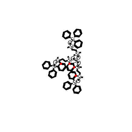 C[Si](C)(CC[Si](C)(C)O[Si](c1ccccc1)(c1ccccc1)c1ccccc1)O[Si](O[Si](C)(C)CC[Si](C)(C)O[Si](c1ccccc1)(c1ccccc1)c1ccccc1)(O[Si](C)(C)CC[Si](C)(C)O[Si](c1ccccc1)(c1ccccc1)c1ccccc1)c1ccccc1